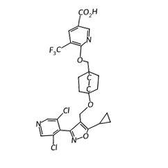 O=C(O)c1cnc(OCC23CCC(OCc4c(-c5c(Cl)cncc5Cl)noc4C4CC4)(CC2)CC3)c(C(F)(F)F)c1